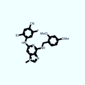 CCc1cc(C#N)c(F)cc1Nc1cc2c(ncn2C)c(NCc2ccc(OC)cc2OC)n1